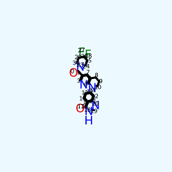 O=C(c1cnc2c(c1)CCCN2c1ccc2c(=O)[nH]cnc2c1)N1CCC(F)(F)CC1